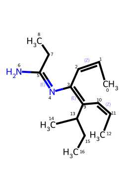 C\C=C/C(/N=C(/N)CC)=C(\C=C/C)C(C)CC